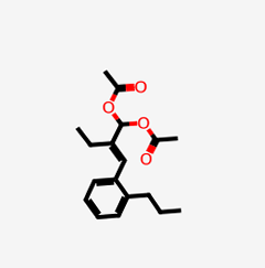 CCCc1ccccc1/C=C(\CC)C(OC(C)=O)OC(C)=O